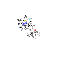 CC(C)(C)[S+]([O-])N[C@@H](CF)[C@]1(c2ccc(F)cc2)CC[C@H](O[Si](C)(C)C(C)(C)C)CC1